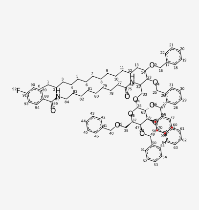 CCCCCCCCCCCCCCC(OCc1ccccc1)C(OCc1ccccc1)C(CO[C@H]1O[C@H](COCc2ccccc2)[C@H](OCc2ccccc2)[C@H](OCc2ccccc2)[C@H]1OCc1ccccc1)NC(=O)CCCCCCCCNC(=O)c1ccc(F)cc1